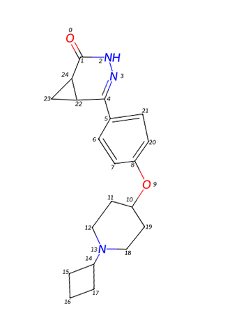 O=C1NN=C(c2ccc(OC3CCN(C4CCC4)CC3)cc2)C2CC12